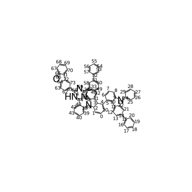 C1=CC2C(C(c3cccc4c3c3ccc(-c5ccccc5)cc3n4-c3ccccc3)=C1)c1ccccc1N2c1ccccc1C1N=C(c2cccc(-c3ccccc3)c2)N=C(c2ccc3oc4ccccc4c3c2)N1